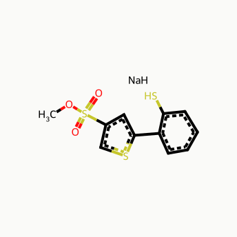 COS(=O)(=O)c1csc(-c2ccccc2S)c1.[NaH]